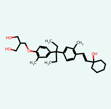 CCC(CC)(c1ccc(/C=C/C2(O)CCCCC2)c(C)c1)c1ccc(OCC(CO)CO)c(C)c1